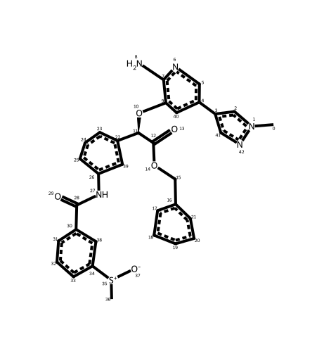 Cn1cc(-c2cnc(N)c(O[C@@H](C(=O)OCc3ccccc3)c3cccc(NC(=O)c4cccc([S+](C)[O-])c4)c3)c2)cn1